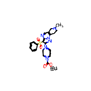 CN1CCc2c(cnc3c(S(=O)(=O)c4ccccc4)c(N4CCN(C(=O)OC(C)(C)C)CC4)nn23)C1